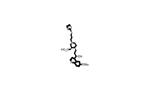 COc1ccc2nccc([C@@H](O)CC[C@@H]3CCN(CCCSc4nccs4)C[C@@H]3CC(=O)O)c2c1